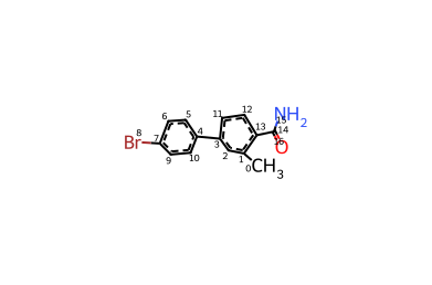 Cc1cc(-c2ccc(Br)cc2)ccc1C(N)=O